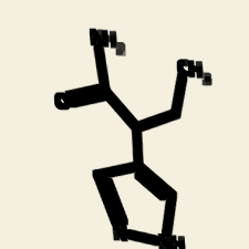 CCC(C(N)=O)c1cn[nH]c1